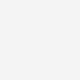 N#Cc1ccc(-c2cnc(C(F)(F)F)nc2)cc1CNC(=O)[C@@H]1[C@H]2CC[C@H]2CN1S(=O)(=O)c1ccc(F)cc1